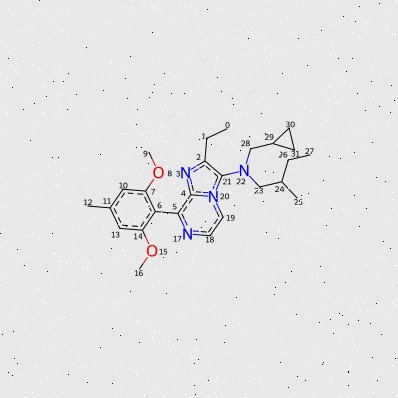 CCc1nc2c(-c3c(OC)cc(C)cc3OC)nccn2c1N(CC(C)CC)CC1CC1